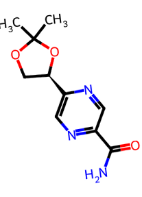 CC1(C)OC[C@H](c2cnc(C(N)=O)cn2)O1